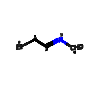 CCCC=NC=O